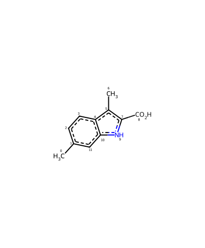 Cc1ccc2c(C)c(C(=O)O)[nH]c2c1